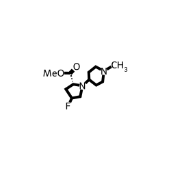 COC(=O)[C@H]1CC(F)CN1C1CCN(C)CC1